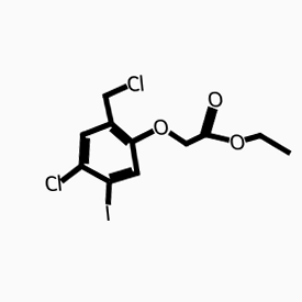 CCOC(=O)COc1cc(I)c(Cl)cc1CCl